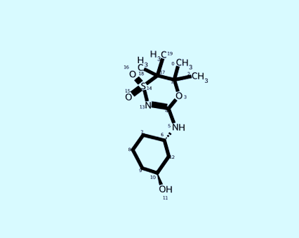 CC1(C)OC(N[C@H]2CCC[C@H](O)C2)=NS(=O)(=O)C1(C)C